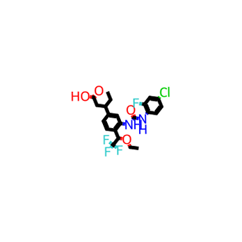 CCOC(c1ccc(C(CC)CC(=O)O)cc1NC(=O)Nc1ccc(Cl)cc1F)C(F)(F)F